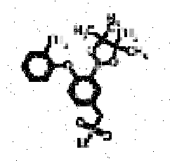 CCS(=O)(=O)Cc1ccc(Oc2ccccc2C)c(B2OC(C)(C)C(C)(C)O2)c1